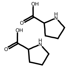 O=C(O)C1CCCN1.O=C(O)C1CCCN1